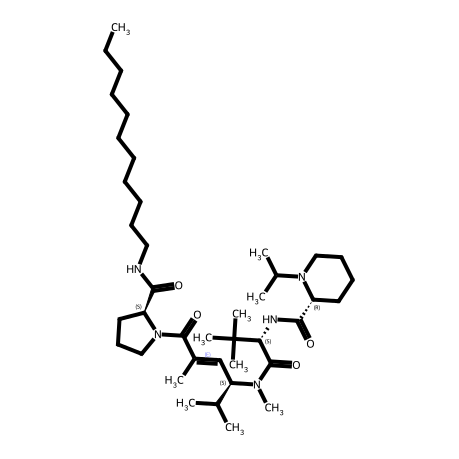 CCCCCCCCCCCNC(=O)[C@@H]1CCCN1C(=O)/C(C)=C/[C@H](C(C)C)N(C)C(=O)[C@@H](NC(=O)[C@H]1CCCCN1C(C)C)C(C)(C)C